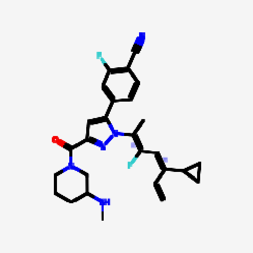 C=C/C(=C\C(F)=C(/C)n1nc(C(=O)N2CCCC(NC)C2)cc1-c1ccc(C#N)c(F)c1)C1CC1